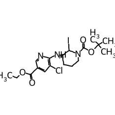 CCOC(=O)c1cnc(N[C@@H]2CCCN(C(=O)OC(C)(C)C)C2I)c(Cl)c1